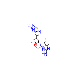 C=CCc1c(C)nc(CN(C)C)nc1N1CCOc2c(C)cc(-c3cnc4sc(N)nc4c3)cc2C1